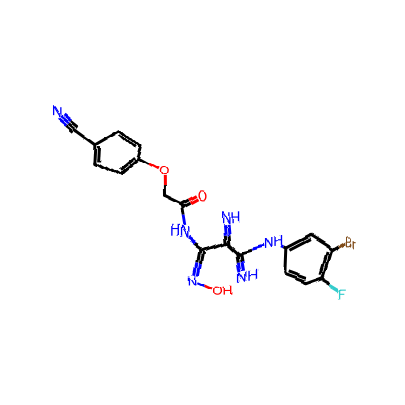 N#Cc1ccc(OCC(=O)N/C(=N/O)C(=N)C(=N)Nc2ccc(F)c(Br)c2)cc1